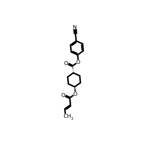 CC=CC(=O)O[C@H]1CC[C@H](C(=O)Oc2ccc(C#N)cc2)CC1